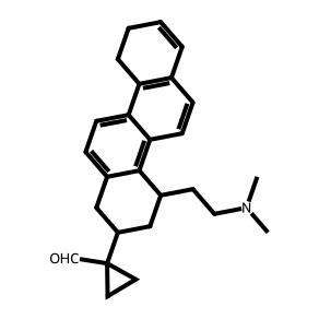 CN(C)CCC1CC(C2(C=O)CC2)Cc2ccc3c4c(ccc3c21)C=CCC4